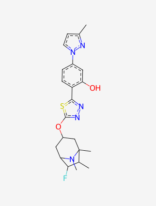 Cc1ccn(-c2ccc(-c3nnc(OC4CC5C(F)C(C)C(C)(C4)N5C)s3)c(O)c2)n1